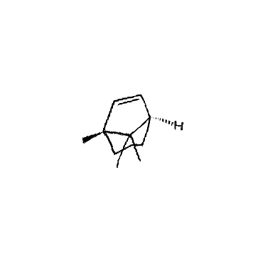 CC1(C)[C@H]2C=C[C@@]1(C)CC2